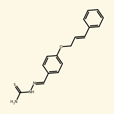 NC(=S)NN=Cc1ccc(OCC=Cc2ccccc2)cc1